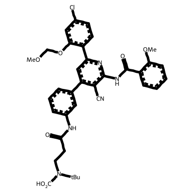 COCOc1cc(Cl)ccc1-c1cc(-c2cccc(NC(=O)CCN(C(=O)O)C(C)(C)C)c2)c(C#N)c(NC(=O)c2ccccc2OC)n1